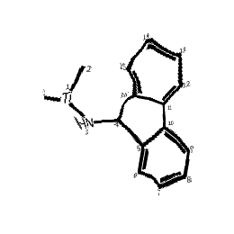 [CH3][Ti]([CH3])[NH]C1c2ccccc2-c2ccccc21